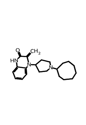 C=C1C(=O)Nc2ccccc2N1C1CCN(C2CCCCCCC2)CC1